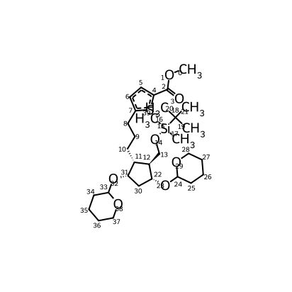 COC(=O)c1ccc(CCC[C@@H]2[C@@H](CO[Si](C)(C)C(C)(C)C)[C@H](OC3CCCCO3)C[C@@H]2OC2CCCCO2)s1